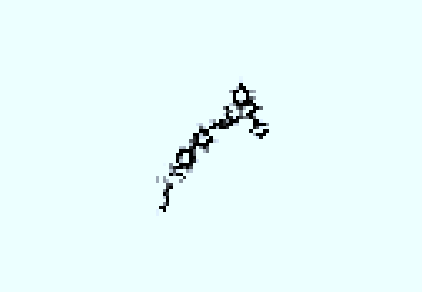 NCCCNS(=O)(=O)c1ccc(-c2ccc(CNC(=O)Cn3c(-c4ncco4)cc4cc(F)ccc43)nc2)cc1